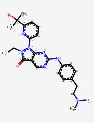 CCn1c(=O)c2cnc(Nc3ccc(CCN(C)C)cc3)nc2n1-c1cccc(C(C)(C)O)n1